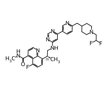 CNC(=O)c1ccnc2c([C@H](C)CNc3cc(-c4ccc(CC5CCN(CC(F)F)CC5)nc4)ncn3)ccc(F)c12